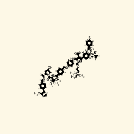 Cc1ncsc1-c1ccc(CNC(=O)[C@@H]2C[C@@H](O)CN2C(=O)[C@@H](NC(=O)c2ccc(COc3ccc(Nc4c(C(N)=O)c(-c5ccc(NS(=O)(=O)C(F)F)c(O[C@@H](C)c6ccc(F)cc6)c5)nn4COCC[Si](C)(C)C)nc3)cc2)C(C)(C)C)cc1